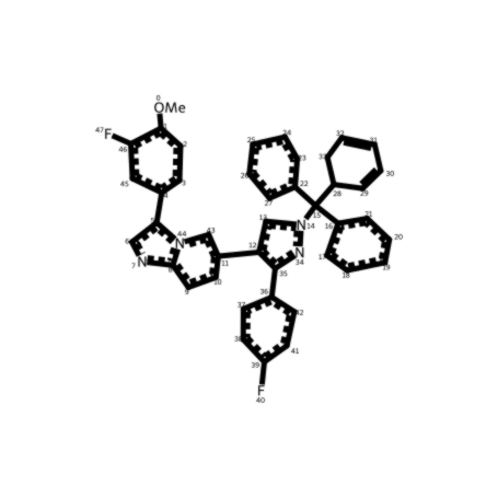 COc1ccc(-c2cnc3ccc(-c4cn(C(c5ccccc5)(c5ccccc5)C5C=CC=CC5)nc4-c4ccc(F)cc4)cn23)cc1F